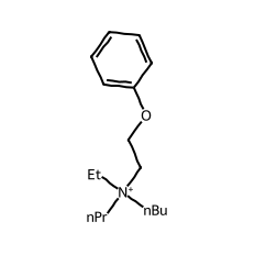 CCCC[N+](CC)(CCC)CCOc1ccccc1